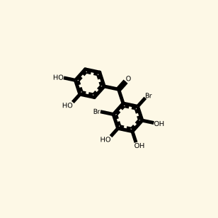 O=C(c1ccc(O)c(O)c1)c1c(Br)c(O)c(O)c(O)c1Br